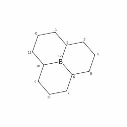 C1CC2CCCC3CCCC(C1)B23